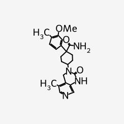 COc1cc(C2(C(N)=O)CCC(N3Cc4c(C)cncc4NC3=O)CC2)ccc1C